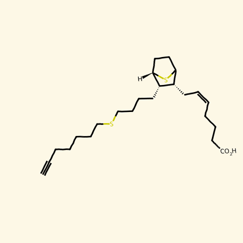 C#CCCCCCSCCCC[C@@H]1[C@@H]2CCC(S2)[C@@H]1C/C=C\CCCC(=O)O